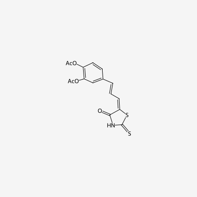 CC(=O)Oc1ccc(C=CC=C2SC(=S)NC2=O)cc1OC(C)=O